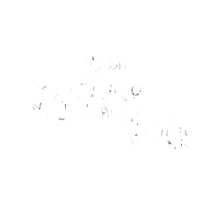 C[C@@H](NC(=O)C(C)(C)n1cnnn1)[C@H]1C(=O)N2C(C(=O)O)=C(S[C@@H]3CN[C@H](C(=O)N(C)C)C3)[C@H](C)[C@H]12